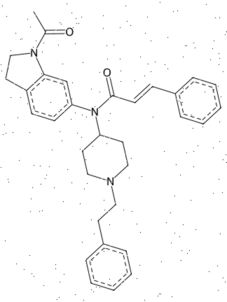 CC(=O)N1CCc2ccc(N(C(=O)C=Cc3ccccc3)C3CCN(CCc4ccccc4)CC3)cc21